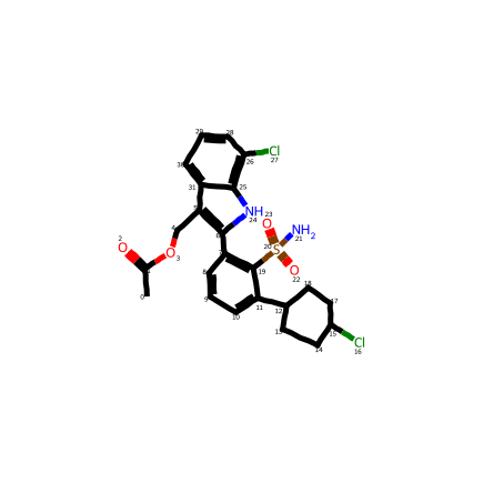 CC(=O)OCc1c(-c2cccc(C3CCC(Cl)CC3)c2S(N)(=O)=O)[nH]c2c(Cl)cccc12